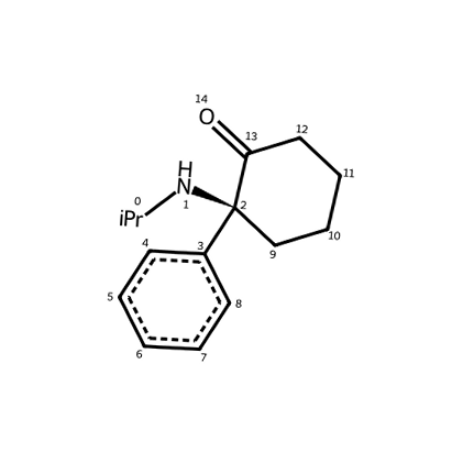 CC(C)N[C@]1(c2ccccc2)CCCCC1=O